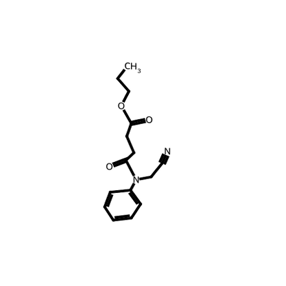 CCCOC(=O)CCC(=O)N(CC#N)c1ccccc1